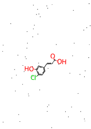 O=C(O)C=Cc1ccc(Cl)c(O)c1